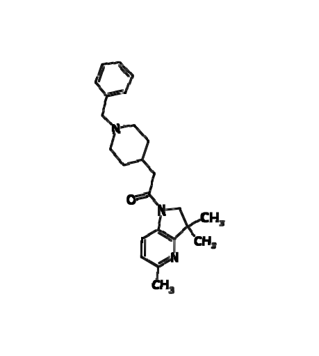 Cc1ccc2c(n1)C(C)(C)CN2C(=O)CC1CCN(Cc2ccccc2)CC1